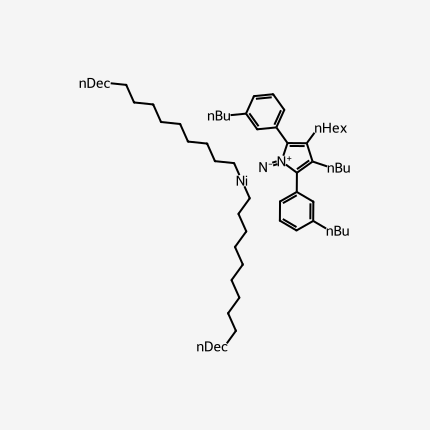 CCCCCCC1=C(c2cccc(CCCC)c2)[N+](=[N-])C(c2cccc(CCCC)c2)=C1CCCC.CCCCCCCCCCCCCCCCCC[CH2][Ni][CH2]CCCCCCCCCCCCCCCCCC